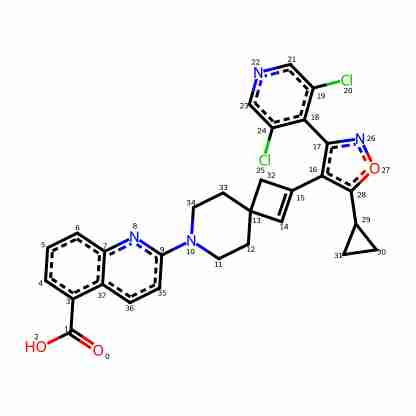 O=C(O)c1cccc2nc(N3CCC4(C=C(c5c(-c6c(Cl)cncc6Cl)noc5C5CC5)C4)CC3)ccc12